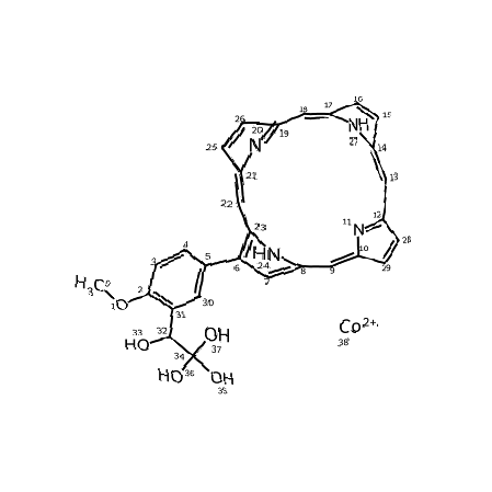 COc1ccc(-c2cc3cc4nc(cc5ccc(cc6nc(cc2[nH]3)C=C6)[nH]5)C=C4)cc1C(O)C(O)(O)O.[Co+2]